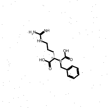 N=C(N)NCCC[C@@H](C(=O)O)N(Cc1ccccc1)C(=O)O